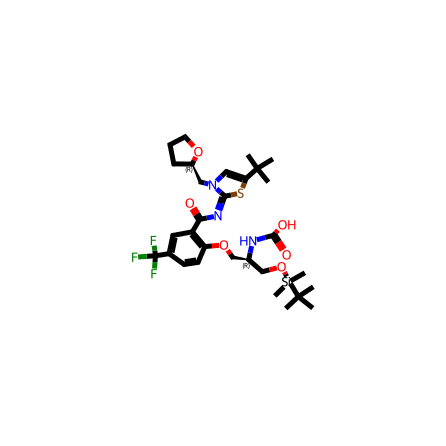 CC(C)(C)c1cn(C[C@H]2CCCO2)c(=NC(=O)c2cc(C(F)(F)F)ccc2OC[C@H](CO[Si](C)(C)C(C)(C)C)NC(=O)O)s1